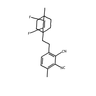 [C-]#[N+]c1c(C)ccc(CCC23CCC(C)(CC2)C(F)=C3F)c1C#N